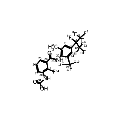 Cc1cc(C(F)(C(F)(F)F)C(F)(F)F)cc(C(F)(F)F)c1NC(=O)c1cccc(NC(=O)O)c1F